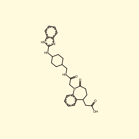 O=C(O)CC1CCC(=O)N(CC(=O)NCC2CCC(Nc3nc4ccccc4[nH]3)CC2)c2ccccc21